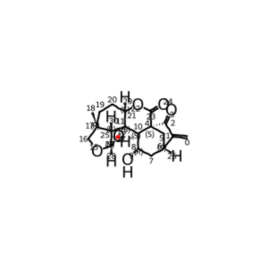 C=C1C(=O)[C@]23C[C@H]1C[C@@H](O)[C@H]2[C@]12CO[C@@H]4OC[C@](C)(CC[C@@H]1OC3=O)[C@@H]42